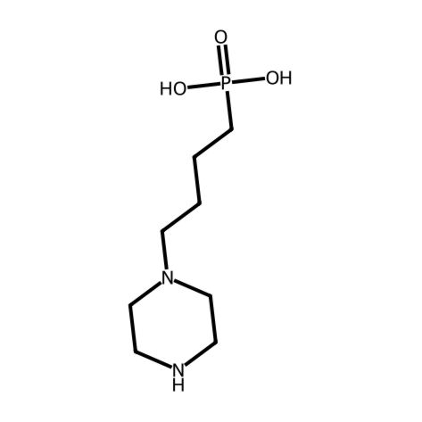 O=P(O)(O)CCCCN1CCNCC1